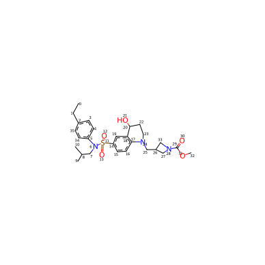 CCc1ccc(N(CC(C)C)S(=O)(=O)c2ccc3c(c2)C(O)CCN3CC2CN(C(=O)OC)C2)cc1